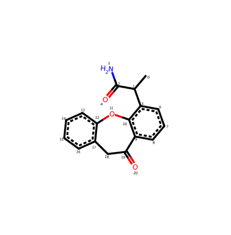 CC(C(N)=O)c1cccc2c1Oc1ccccc1CC2=O